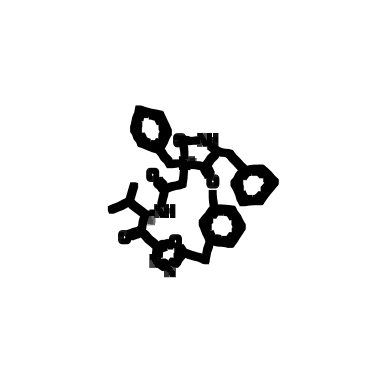 Cc1cccc(Cc2nnc(C(=O)[C@@H](NC(=O)C[N+]3(Cc4ccccc4)C(=O)NC(Cc4ccccc4)C3=O)C(C)C)o2)c1